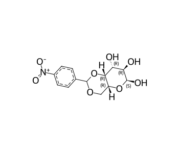 O=[N+]([O-])c1ccc(C2OC[C@H]3O[C@H](O)[C@H](O)[C@@H](O)[C@H]3O2)cc1